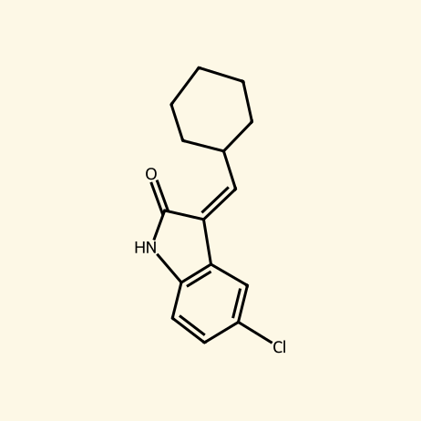 O=C1Nc2ccc(Cl)cc2C1=CC1CCCCC1